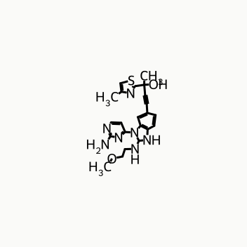 COCCNC1Nc2ccc(C#CC(C)(O)c3nc(C)cs3)cc2N1c1ccnc(N)n1